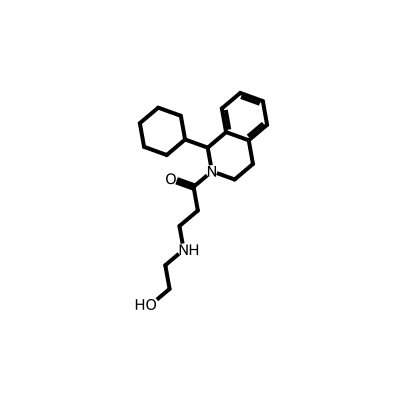 O=C(CCNCCO)N1CCc2ccccc2C1C1CCCCC1